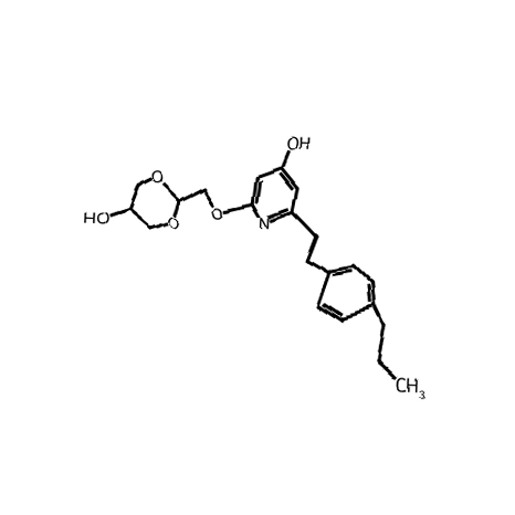 CCCc1ccc(CCc2cc(O)cc(OCC3OCC(O)CO3)n2)cc1